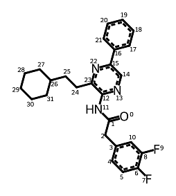 O=C(Cc1ccc(F)c(F)c1)Nc1ncc(-c2ccccc2)nc1CCC1CCCCC1